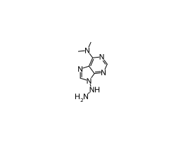 CN(C)c1ncnc2c1ncn2NN